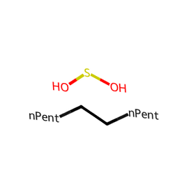 CCCCCCCCCCCC.OSO